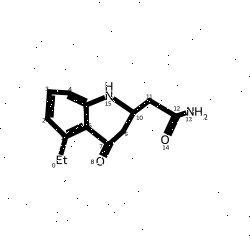 CCc1cccc2c1C(=O)CC(CC(N)=O)N2